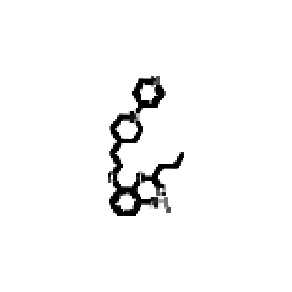 CCCC(=O)Oc1c(N)cccc1OCCC1CCN(c2ccncc2)CC1